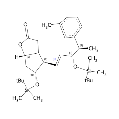 Cc1cccc([C@@H](C)[C@@H](/C=C/[C@@H]2C3CC(=O)O[C@H]3C[C@H]2O[Si](C)(C)C(C)(C)C)O[Si](C)(C)C(C)(C)C)c1